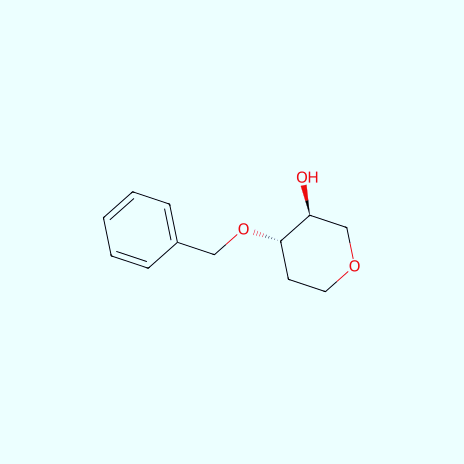 O[C@H]1COCC[C@@H]1OCc1ccccc1